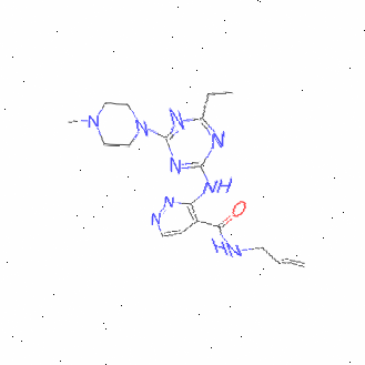 C=CCNC(=O)c1ccnnc1Nc1nc(CC)nc(N2CCN(C)CC2)n1